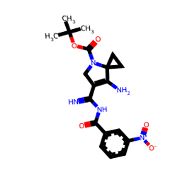 CC(C)(C)OC(=O)N1CC(C(=N)NC(=O)c2cccc([N+](=O)[O-])c2)=C(N)C12CC2